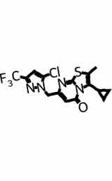 Cc1sc2nc(Cn3nc(C(F)(F)F)cc3Cl)cc(=O)n2c1C1CC1